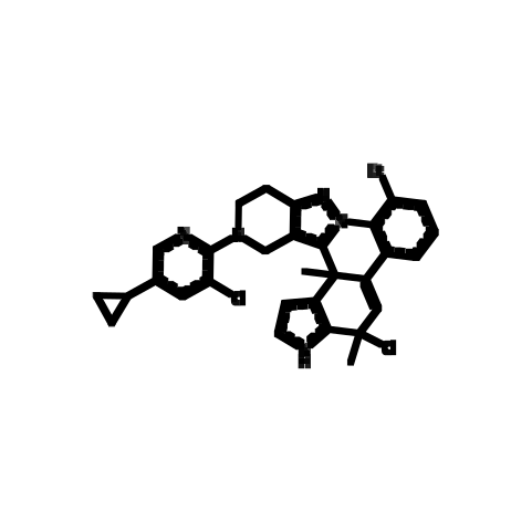 CCc1cccc2c1-n1nc3c(c1C1(C)C2=CC(C)(Cl)c2[nH]ccc21)CN(c1ncc(C2CC2)cc1Cl)CC3